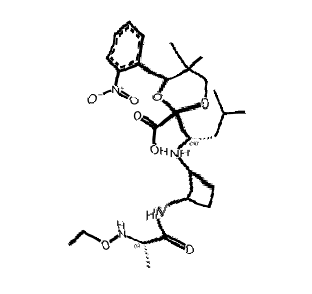 CCON[C@@H](C)C(=O)NC1CCC1N[C@@H](CC(C)C)C1(C(=O)O)OCC(C)(C)C(c2ccccc2[N+](=O)[O-])O1